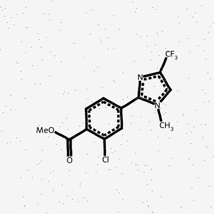 COC(=O)c1ccc(-c2nc(C(F)(F)F)cn2C)cc1Cl